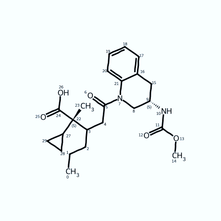 CCCC(CC(=O)N1C[C@@H](NC(=O)OC)Cc2ccccc21)[C@@](C)(C(=O)O)C1CC1